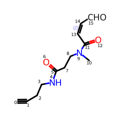 C#CCCNC(=O)CCN(C)C(=O)/C=C\C=O